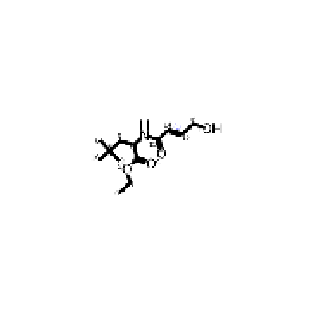 CCOC(=O)C(CC(C)(C)C)NC(=O)/C=C/CO